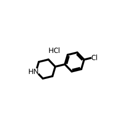 Cl.Clc1ccc(C2CCNCC2)cc1